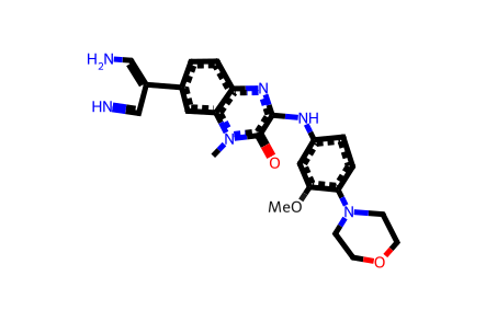 COc1cc(Nc2nc3ccc(/C(C=N)=C/N)cc3n(C)c2=O)ccc1N1CCOCC1